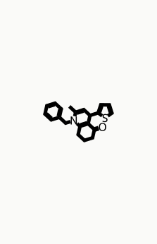 CC1=CC(c2cccs2)C2=C(CCCC2=O)N1Cc1ccccc1